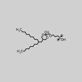 CCCCCCCCCC(CCCCCCCC)CC1COC(C)(COCCCS(=O)(=O)O)OC1